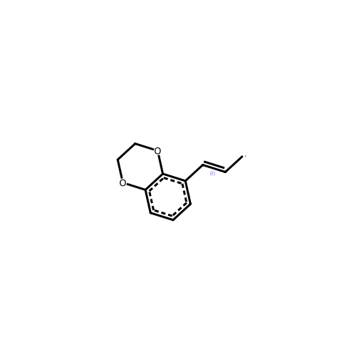 [CH2]/C=C/c1cccc2c1OCCO2